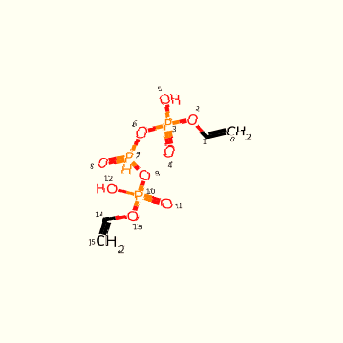 C=COP(=O)(O)O[PH](=O)OP(=O)(O)OC=C